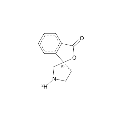 [2H]N1CC[C@@]2(C1)OC(=O)c1ccccc12